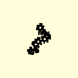 CN(Cc1cc(-c2ccc3ncnc(NCc4ccccc4)c3c2)ccc1F)C(=O)c1ccco1